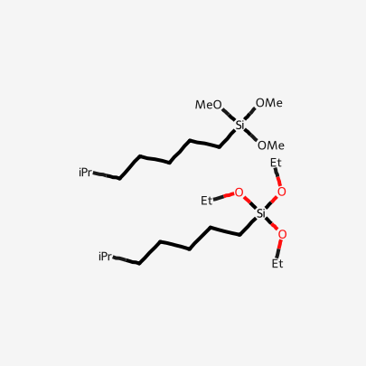 CCO[Si](CCCCCC(C)C)(OCC)OCC.CO[Si](CCCCCC(C)C)(OC)OC